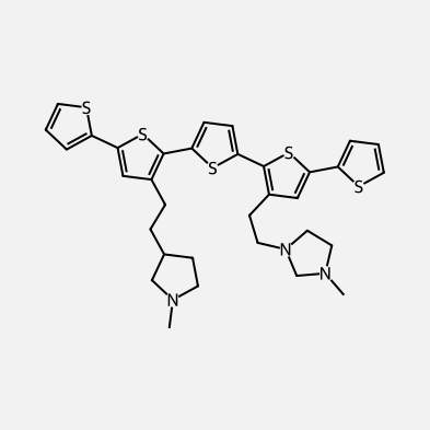 CN1CCC(CCc2cc(-c3cccs3)sc2-c2ccc(-c3sc(-c4cccs4)cc3CCN3CCN(C)C3)s2)C1